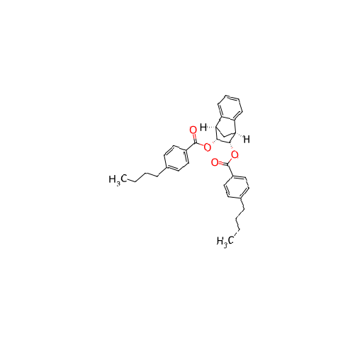 CCCCc1ccc(C(=O)O[C@@H]2[C@H](OC(=O)c3ccc(CCCC)cc3)[C@@H]3C[C@H]2c2ccccc23)cc1